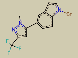 Cn1nc(C(F)(F)F)cc1-c1ccc2c(ccn2Br)c1